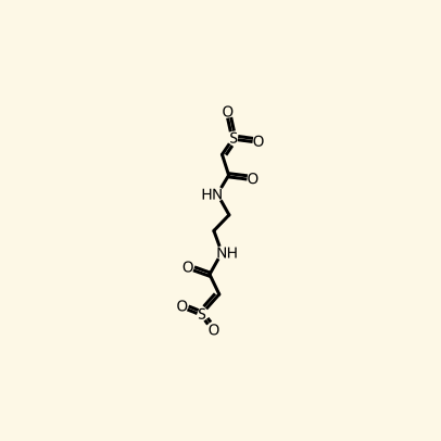 O=C(C=S(=O)=O)NCCNC(=O)C=S(=O)=O